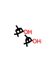 CC1=CC(O)C2CC1C2(C)C.CC1=CC(O)C2CC1C2(C)C